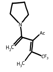 C=C(/C(C(C)=O)=C(\C)C(F)(F)F)N1CCCC1